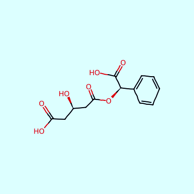 O=C(O)C[C@@H](O)CC(=O)O[C@@H](C(=O)O)c1ccccc1